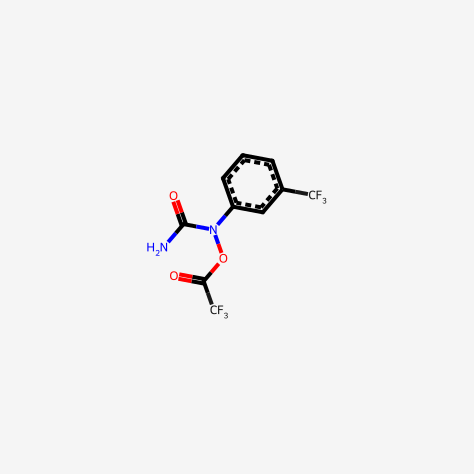 NC(=O)N(OC(=O)C(F)(F)F)c1cccc(C(F)(F)F)c1